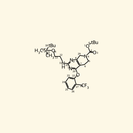 CC(C)(C)OC(=O)N1CCc2c(nc(NCCO[Si](C)(C)C(C)(C)C)nc2Oc2ccccc2C(F)(F)F)C1